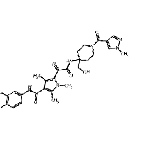 Cc1cc(NC(=O)c2c(C)c(C(=O)C(=O)NC3(CO)CCN(C(=O)c4cnn(C)c4)CC3)n(C)c2C)ccc1F